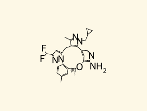 Cc1ccc2c(c1)[C@@H](C)Oc1cc(cnc1N)-c1c(c(C)nn1CC1CC1)Cc1cc(C(F)F)nn1-2